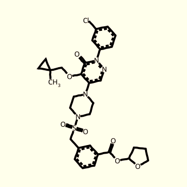 CC1(COc2c(N3CCN(S(=O)(=O)Cc4cccc(C(=O)OC5CCCO5)c4)CC3)cnn(-c3cccc(Cl)c3)c2=O)CC1